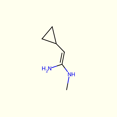 CN/C(N)=C/C1CC1